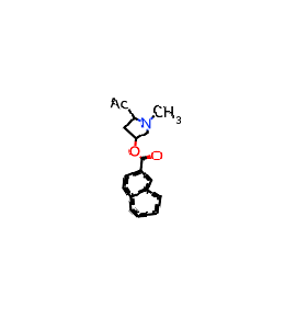 CC(=O)C1CC(OC(=O)c2ccc3ccccc3c2)CN1C